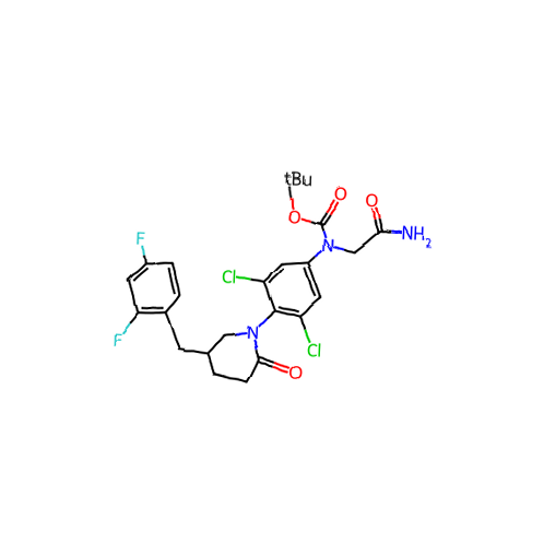 CC(C)(C)OC(=O)N(CC(N)=O)c1cc(Cl)c(N2CC(Cc3ccc(F)cc3F)CCC2=O)c(Cl)c1